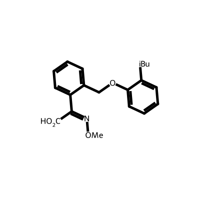 CCC(C)c1ccccc1OCc1ccccc1C(=NOC)C(=O)O